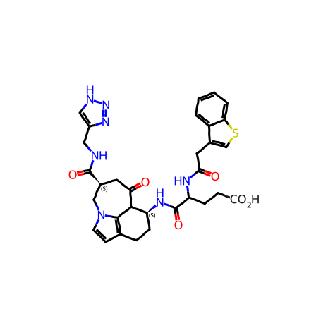 O=C(O)CCC(NC(=O)Cc1csc2ccccc12)C(=O)N[C@H]1CCc2ccn3c2C1C(=O)C[C@H](C(=O)NCc1c[nH]nn1)C3